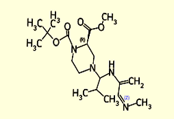 C=C(/C=N\C)NC(C(C)C)N1CCN(C(=O)OC(C)(C)C)[C@@H](C(=O)OC)C1